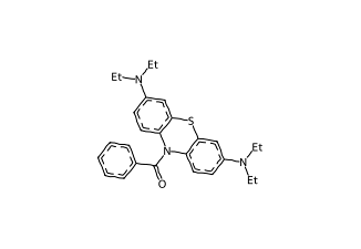 CCN(CC)c1ccc2c(c1)Sc1cc(N(CC)CC)ccc1N2C(=O)c1ccccc1